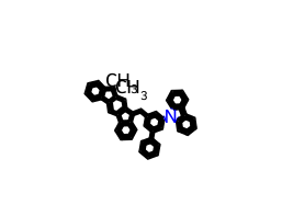 CC1(C)c2ccccc2C2=CC3=C(CC21)C(Cc1cc(-c2ccccc2)cc(-n2c4ccccc4c4ccccc42)c1)c1ccccc13